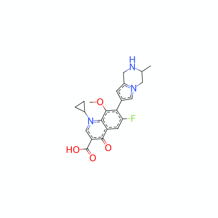 COc1c(-c2cc3n(c2)CC(C)NC3)c(F)cc2c(=O)c(C(=O)O)cn(C3CC3)c12